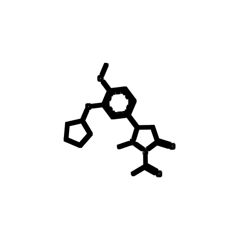 COc1ccc(C2CC(=O)N(C(C)=O)N2C)cc1OC1CCCC1